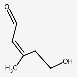 C/C(=C/C=O)CCO